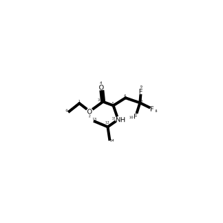 CCOC(=O)C(CC(F)(F)F)NC(C)C